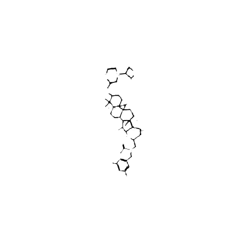 CC(=O)N(Cc1cc(F)cc(F)c1)CC1C[C@@H](C)[C@H]2C(O1)C(O)[C@@]1(C)C3CC[C@H]4C(C)(C)C(OC5CN(C6COC6)CCO5)CCC45CC35CCC21C